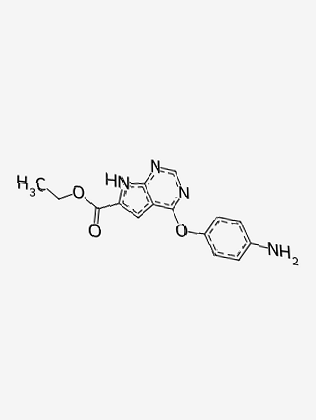 CCOC(=O)c1cc2c(Oc3ccc(N)cc3)ncnc2[nH]1